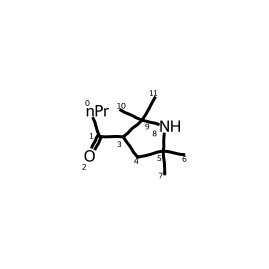 CCCC(=O)C1CC(C)(C)NC1(C)C